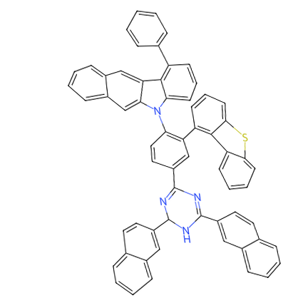 c1ccc(-c2cccc3c2c2cc4ccccc4cc2n3-c2ccc(C3=NC(c4ccc5ccccc5c4)NC(c4ccc5ccccc5c4)=N3)cc2-c2cccc3sc4ccccc4c23)cc1